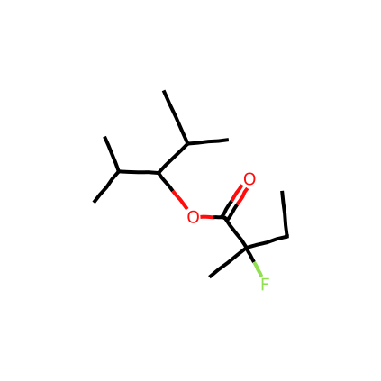 CCC(C)(F)C(=O)OC(C(C)C)C(C)C